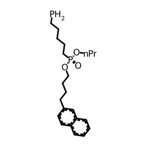 CCCOP(=O)(CCCCCP)OCCCCc1ccc2ccccc2c1